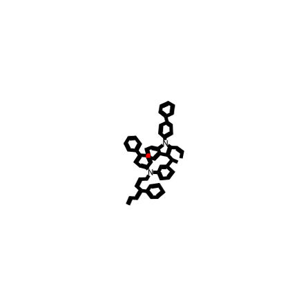 C=C/C=C(\C=C/CN(c1ccc(-c2ccccc2)cc1)c1cccc(C(C)c2c(/C=C\C)n(-c3ccc(-c4ccccc4)cc3)c3ccccc23)c1)c1ccccc1